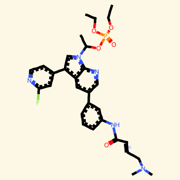 CCOP(=O)(OCC)OC(C)n1cc(-c2ccnc(F)c2)c2cc(-c3cccc(NC(=O)/C=C/CN(C)C)c3)cnc21